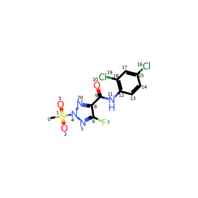 CS(=O)(=O)n1nc(F)c(C(=O)Nc2ccc(Cl)cc2Cl)n1